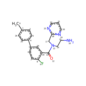 Cc1ccc(-c2ccc(F)c(C(=O)N(CCN)Cc3ncccn3)c2)cc1